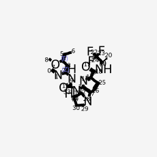 C=N/C(=C\C(=C/C)OC)NC(=O)N1c2nc(C(=O)N[C@H](C)C(F)(F)F)ccc2N2CC[C@H]1C2